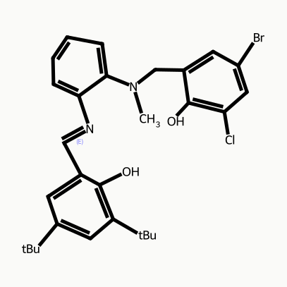 CN(Cc1cc(Br)cc(Cl)c1O)c1ccccc1/N=C/c1cc(C(C)(C)C)cc(C(C)(C)C)c1O